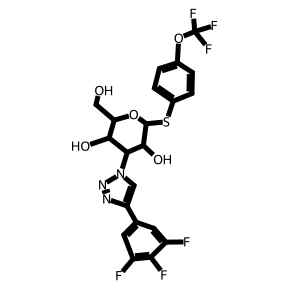 OCC1OC(Sc2ccc(OC(F)(F)F)cc2)C(O)C(n2cc(-c3cc(F)c(F)c(F)c3)nn2)C1O